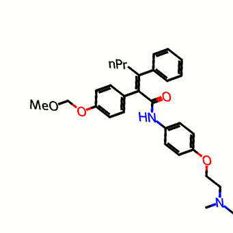 CCCC(=C(C(=O)Nc1ccc(OCCN(C)C)cc1)c1ccc(OCOC)cc1)c1ccccc1